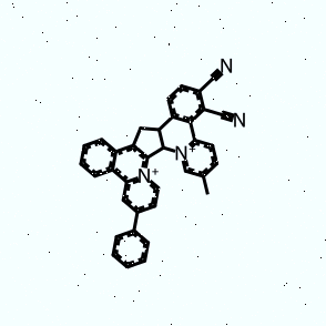 Cc1ccc2[n+](c1)C1c3c(c4ccccc4c4cc(-c5ccccc5)cc[n+]34)CC1c1ccc(C#N)c(C#N)c1-2